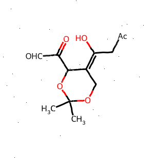 CC(=O)CC(O)=C1COC(C)(C)OC1C(=O)C=O